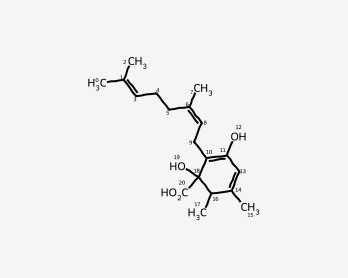 CC(C)=CCCC(C)=CCC1=C(O)C=C(C)C(C)C1(O)C(=O)O